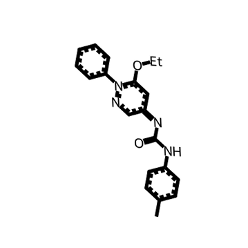 CCOc1cc(=NC(=O)Nc2ccc(C)cc2)cnn1-c1ccccc1